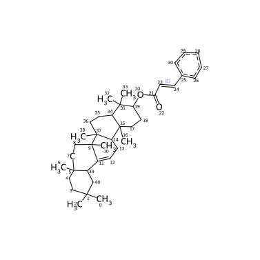 CC1(C)CCC2(C)CCC3(C)C(=CCC4C5(C)CCC(OC(=O)/C=C/c6ccccc6)C(C)(C)C5CCC43C)C2C1